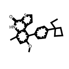 CCC1(c2ccc(-c3c(OC)cc(C)c4[nH]c(=O)c5sccc5c34)cc2)CCC1